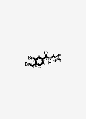 C[Si](C)(C)CNC(=O)c1ccc(CBr)c(Br)c1